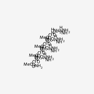 COc1ccc(NC(=O)[C@@H](CCCNC(=N)N)NC(=O)c2cc(NC(=O)[C@@H](CCCNC(=N)N)NC(=O)c3cc(NC(=O)[C@H](CCCNC(=N)N)NC(=O)c4cc(NC(=O)[C@H](N)CCCNC(=N)N)ccc4OC)ccc3OC)ccc2OC)cc1C(N)=O